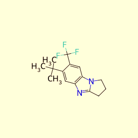 CC(C)(C)c1cc2nc3n(c2cc1C(F)(F)F)CCC3